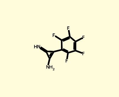 N=c1c(N)c1-c1c(F)c(F)c(F)c(F)c1F